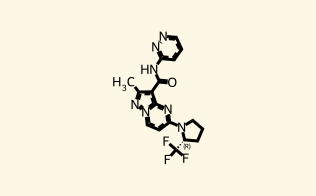 Cc1nn2ccc(N3CCC[C@@H]3C(F)(F)F)nc2c1C(=O)Nc1cccnn1